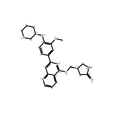 COc1cc(-c2cc3ncccc3c(OC[C@H]3CNC(=O)C3)n2)ccc1O[C@@H]1CCCOC1